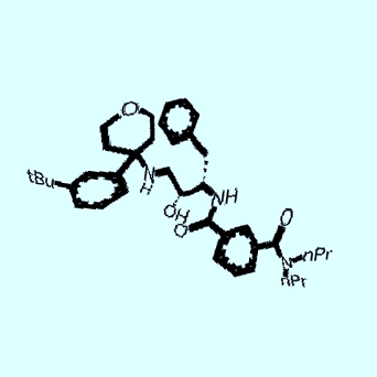 CCCN(CCC)C(=O)c1cccc(C(=O)N[C@@H](Cc2ccccc2)[C@H](O)CNC2(c3cccc(C(C)(C)C)c3)CCOCC2)c1